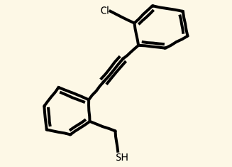 SCc1ccccc1C#Cc1ccccc1Cl